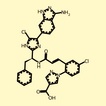 Nc1n[nH]c2cc(-c3nc([C@H](Cc4ccccc4)NC(=O)/C=C/c4cc(Cl)ccc4-n4cc(C(=O)O)cn4)[nH]c3Cl)ccc12